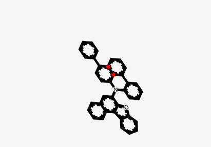 c1ccc(-c2ccc(N(c3ccccc3-c3ccccc3)c3cc4ccccc4c4c3oc3ccccc34)cc2)cc1